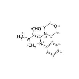 C=C(C)/C(C=O)=C(\Nc1ccccc1)N1CCOCC1